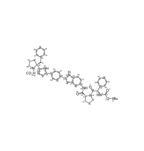 CC(C)(C)OC(=O)N[C@@H](C(=O)N1CCC[C@H]1C(=O)Nc1ccc2[nH]c(-c3ccc(-c4cnc([C@@]5(Cc6ccccc6)CCCN5C(=O)O)[nH]4)cc3)cc2c1)c1ccccc1